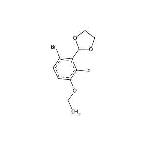 CCOc1ccc(Br)c(C2OCCO2)c1F